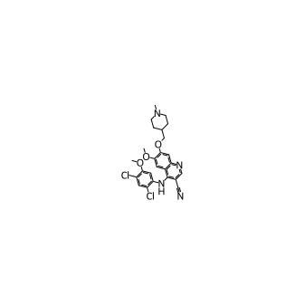 COc1cc(Nc2c(C#N)cnc3cc(OCC4CCN(C)CC4)c(OC)cc23)c(Cl)cc1Cl